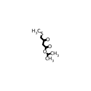 CSCC(=O)CC(=O)OC(C)C